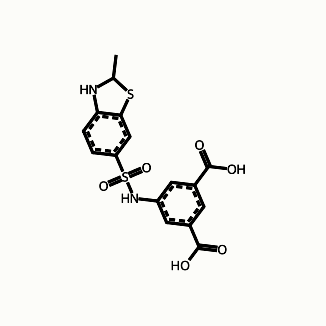 CC1Nc2ccc(S(=O)(=O)Nc3cc(C(=O)O)cc(C(=O)O)c3)cc2S1